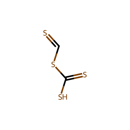 S=CSC(=S)S